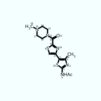 CC(=O)Nc1nc(C)c(-c2csc(C(=O)N3CCN(C)CC3)n2)s1